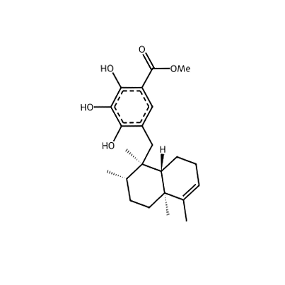 COC(=O)c1cc(C[C@]2(C)[C@@H](C)CC[C@]3(C)C(C)=CCC[C@@H]23)c(O)c(O)c1O